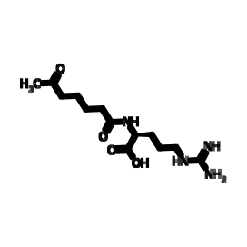 CC(=O)CCCCC(=O)N[C@@H](CCCNC(=N)N)C(=O)O